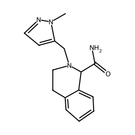 Cn1nccc1CN1CCc2ccccc2C1C(N)=O